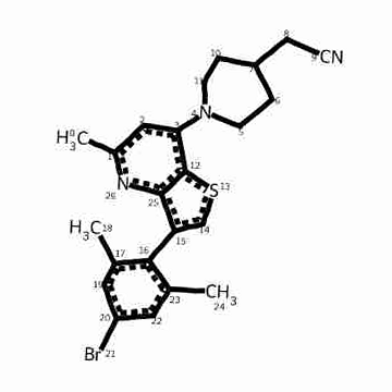 Cc1cc(N2CCC(CC#N)CC2)c2scc(-c3c(C)cc(Br)cc3C)c2n1